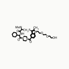 CNC(C)C(=O)NC(C(=O)N1CCN(C(=O)c2ccc3c(c2)c(F)c(C)n3CCOCCOCCO)CC1)C1CCCCC1